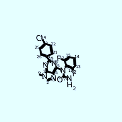 Cn1cnc2c(N(C(N)=O)c3c(F)cccc3F)nc(-c3ccc(Cl)cc3)nc21